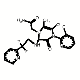 CC1=C(Cl)N(c2ncccc2F)C(=O)C(NCC(F)(F)c2ccccn2)N1CC(N)=O